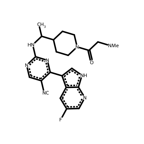 [C-]#[N+]c1cnc(NC(C)C2CCN(C(=O)CNC)CC2)nc1-c1c[nH]c2ncc(F)cc12